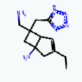 CCC1=CC2C(N)(C1)CC2(CN)Cc1nnn[nH]1